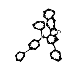 c1ccc(-c2ccc(N(c3ccccc3)c3cc(-c4ccccc4)cc4oc5cc6ccccc6cc5c34)cc2)cc1